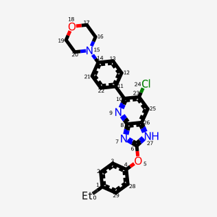 CCc1ccc(Oc2nc3nc(-c4ccc(N5CCOCC5)cc4)c(Cl)cc3[nH]2)cc1